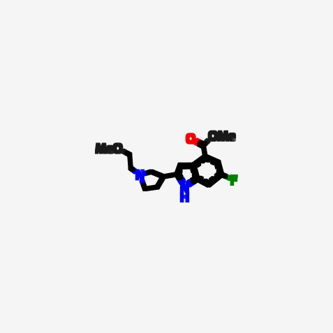 COCCN1CCC(c2cc3c(C(=O)OC)cc(F)cc3[nH]2)C1